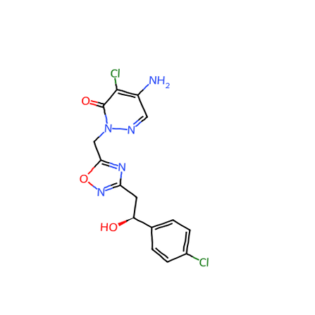 Nc1cnn(Cc2nc(C[C@H](O)c3ccc(Cl)cc3)no2)c(=O)c1Cl